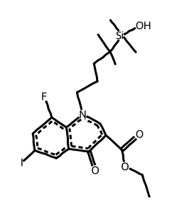 CCOC(=O)c1cn(CCCC(C)(C)[Si](C)(C)O)c2c(F)cc(I)cc2c1=O